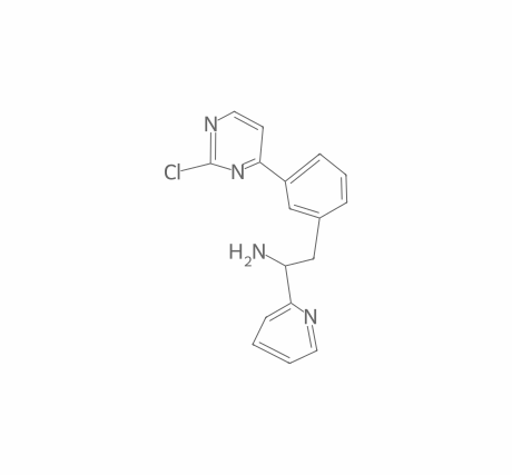 NC(Cc1cccc(-c2ccnc(Cl)n2)c1)c1ccccn1